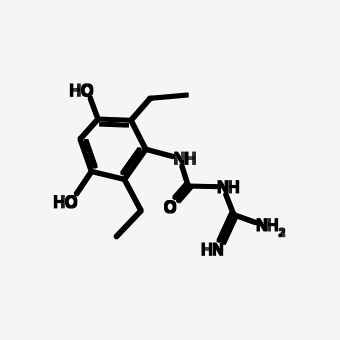 CCc1c(O)cc(O)c(CC)c1NC(=O)NC(=N)N